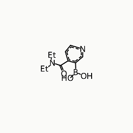 CCN(CC)C(=O)c1ccncc1B(O)O